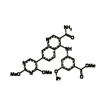 COC(=O)c1cc(Nc2c(C(N)=O)cnc3cc(-c4cnc(OC)nc4OC)ccc23)cc(OC(C)C)c1